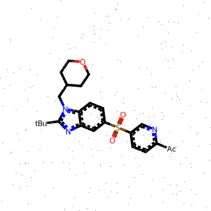 CC(=O)c1ccc(S(=O)(=O)c2ccc3c(c2)nc(C(C)(C)C)n3CC2CCOCC2)cn1